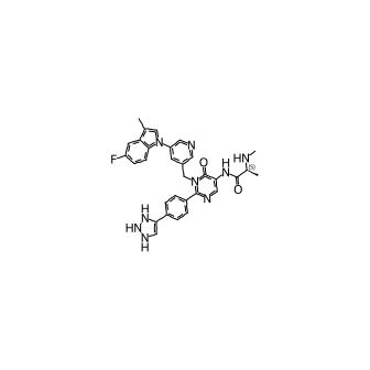 CN[C@@H](C)C(=O)Nc1cnc(-c2ccc(C3=CNNN3)cc2)n(Cc2cncc(-n3cc(C)c4cc(F)ccc43)c2)c1=O